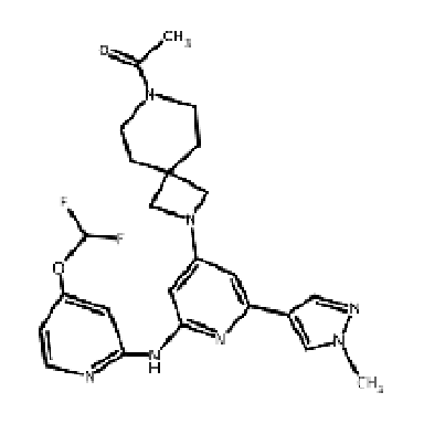 CC(=O)N1CCC2(CC1)CN(c1cc(Nc3cc(OC(F)F)ccn3)nc(-c3cnn(C)c3)c1)C2